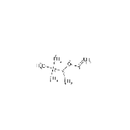 C=COC(P)C(C)(C)C